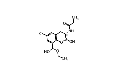 CCOC(O)c1cc(Cl)cc2c1OB(O)[C@@H](NC(=O)CC)C2